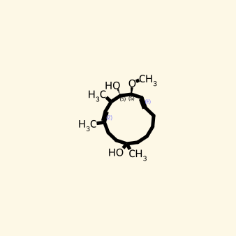 CO[C@H]1/C=C/CCCCC(C)(O)CC/C(C)=C\C(C)[C@@H]1O